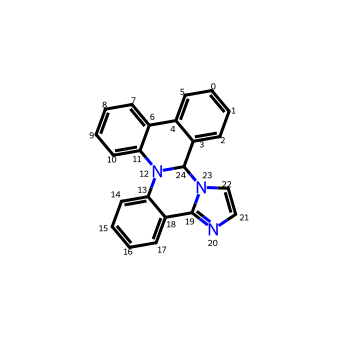 c1ccc2c(c1)-c1ccccc1N1c3ccccc3-c3nccn3C21